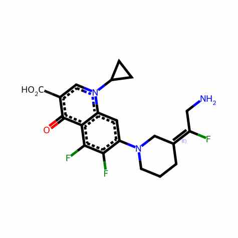 NC/C(F)=C1/CCCN(c2cc3c(c(F)c2F)c(=O)c(C(=O)O)cn3C2CC2)C1